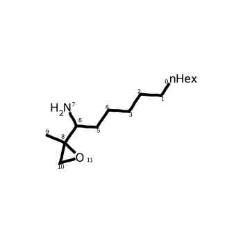 CCCCCCCCCCCC(N)C1(C)CO1